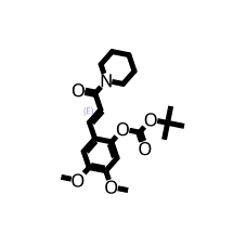 COc1cc(/C=C/C(=O)N2CCCCC2)c(OC(=O)OC(C)(C)C)cc1OC